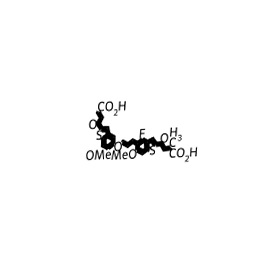 COc1cc2sc(C(=O)CCC(=O)O)cc2cc1OCCCc1c(OC)cc2sc(C(=O)C[C@H](C)C(=O)O)cc2c1F